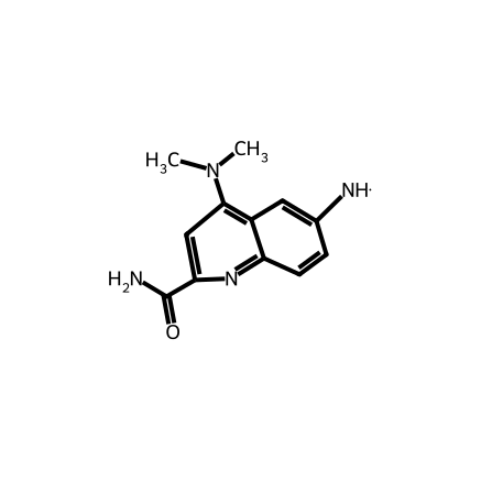 CN(C)c1cc(C(N)=O)nc2ccc([NH])cc12